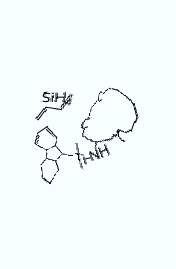 C=CC=C.[CH3][Ti]([CH3])([NH]C1CCCCCCCCCCC1)[CH]1C2C=CC=CC2C2CCCCC21.[SiH4]